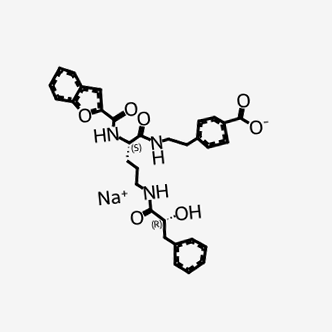 O=C([O-])c1ccc(CCNC(=O)[C@H](CCCNC(=O)[C@H](O)Cc2ccccc2)NC(=O)c2cc3ccccc3o2)cc1.[Na+]